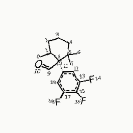 CC1CCCC(C)(C)[C@]1(C=O)c1cc(F)c(F)c(F)c1